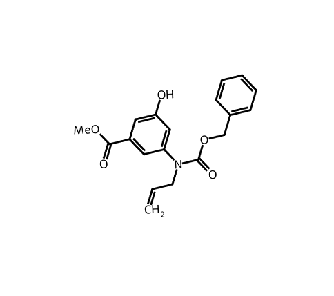 C=CCN(C(=O)OCc1ccccc1)c1cc(O)cc(C(=O)OC)c1